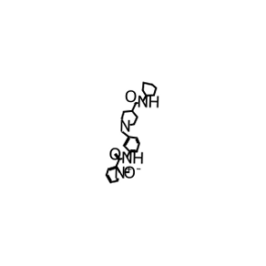 O=C(Nc1cccc(CN2CCC(C(=O)NC3CCCCC3)CC2)c1)c1cccc[n+]1[O-]